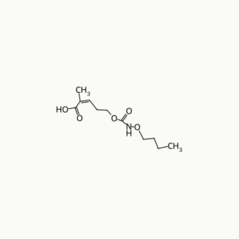 CCCCONC(=O)OCCC=C(C)C(=O)O